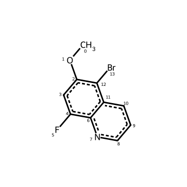 COc1cc(F)c2ncccc2c1Br